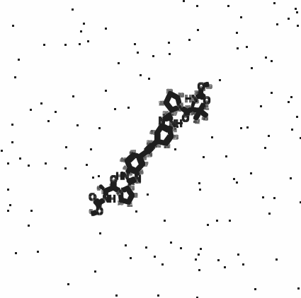 COC(=O)N[C@@H](C)C(=O)N1CCC[C@H]1c1nc2cc(C#Cc3ccc4[nH]c([C@@H]5CCCN5C(=O)[C@@H](NC(=O)OC)C(C)(C)C)nc4c3)ccc2[nH]1